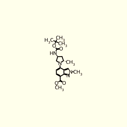 COC(=O)c1ccc(N2C[C@@H](NC(=O)OC(C)(C)C)C[C@@H]2C)c2cn(C)nc12